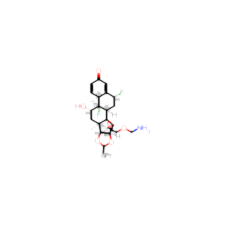 CCCC1O[C@@H]2CC3[C@@H]4C[C@H](F)C5=CC(=O)C=C[C@]5(C)[C@@]4(F)[C@@H](O)C[C@]3(C)[C@]2(C(=O)COCN)O1